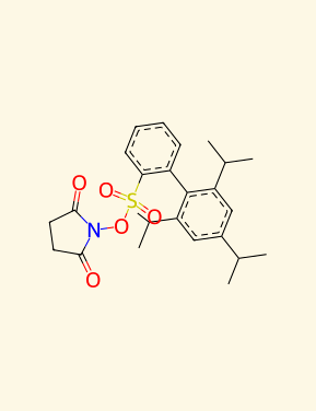 CC(C)c1cc(C(C)C)c(-c2ccccc2S(=O)(=O)ON2C(=O)CCC2=O)c(C(C)C)c1